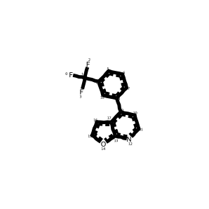 FC(F)(F)c1cccc(-c2ccnc3occc23)c1